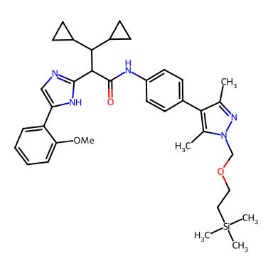 COc1ccccc1-c1cnc(C(C(=O)Nc2ccc(-c3c(C)nn(COCC[Si](C)(C)C)c3C)cc2)C(C2CC2)C2CC2)[nH]1